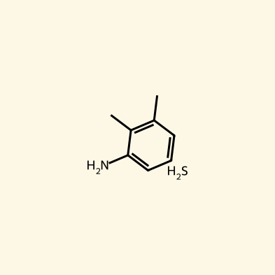 Cc1cccc(N)c1C.S